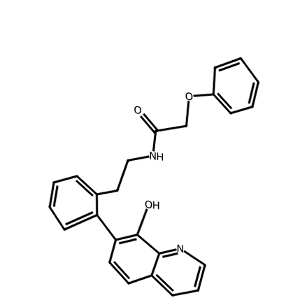 O=C(COc1ccccc1)NCCc1ccccc1-c1ccc2cccnc2c1O